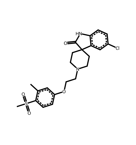 Cc1cc(OCCN2CCC3(CC2)C(=O)Nc2ccc(Cl)cc23)ccc1S(C)(=O)=O